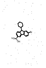 OB(O)c1ccc2c(c1)-c1ccc(Br)cc1C2C1CCCCC1